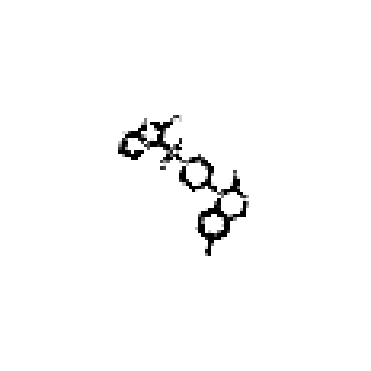 Cc1ccc2c(c1)COC(=O)N2C1CCN(S(=O)(=O)c2c(Cl)nc3sccn23)CC1